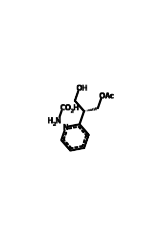 CC(=O)OC[C@@H](CO)c1ccccn1.NC(=O)O